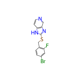 Fc1cc(Br)ccc1CSc1nc2cnccc2[nH]1